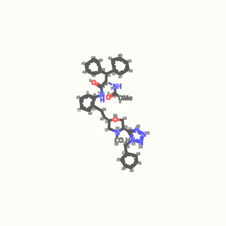 COC(=O)N[C@H](C(=O)Nc1ccccc1CC[C@@H]1CN(C(=O)O)[C@H](c2nnnn2Cc2ccccc2)CO1)C(c1ccccc1)c1ccccc1